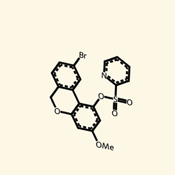 COc1cc2c(c(OS(=O)(=O)c3ccccn3)c1)-c1cc(Br)ccc1CO2